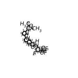 C[C@@H]1CN(c2cccc(-c3ccc4cnc(CC(=O)N[C@H]5C[C@H](F)CN(S(=O)(=O)C(F)F)C5)cc4n3)n2)C[C@H](C)O1